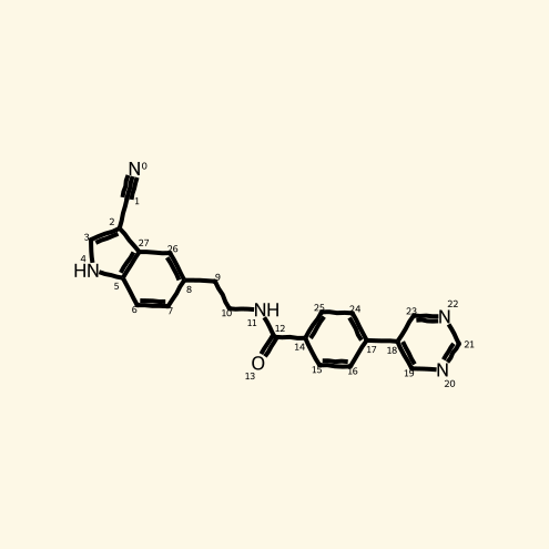 N#Cc1c[nH]c2ccc(CCNC(=O)c3ccc(-c4cncnc4)cc3)cc12